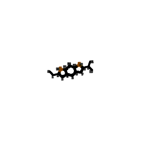 CCc1cc2cc3cc(C(C)C)sc3cc2s1